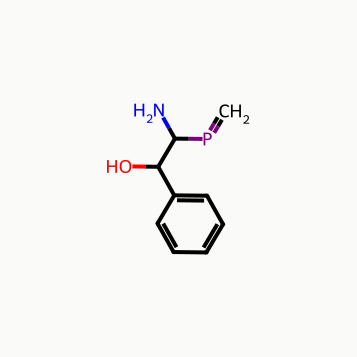 C=PC(N)C(O)c1ccccc1